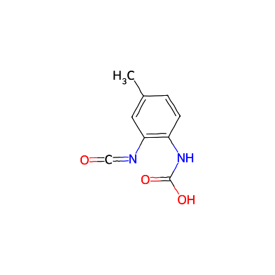 Cc1ccc(NC(=O)O)c(N=C=O)c1